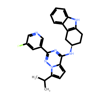 CC(C)c1ccc2c(N[C@@H]3CCc4[nH]c5ccccc5c4C3)nc(-c3cncc(F)c3)nn12